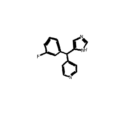 Fc1cccc(C(c2ccncc2)c2cnc[nH]2)c1